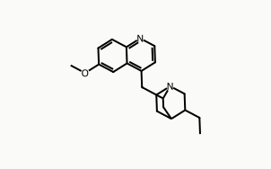 CCC1CN2CCC1CC2Cc1ccnc2ccc(OC)cc12